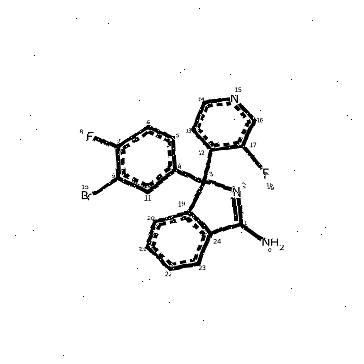 NC1=NC(c2ccc(F)c(Br)c2)(c2ccncc2F)c2ccccc21